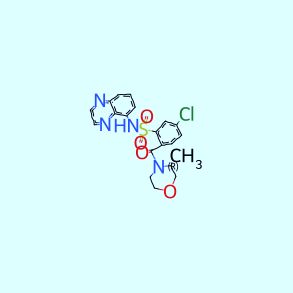 C[C@@H]1COCCN1C(=O)c1ccc(Cl)cc1S(=O)(=O)Nc1cccc2nccnc12